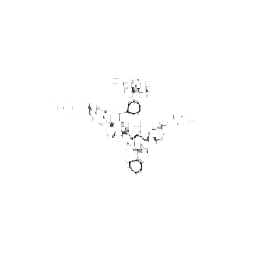 CCOC(=O)N1CCN(C(=O)C(Cc2cccc(P(=O)(OCC)OCC)c2)NC(=O)c2cc(N3CCC(OC)C3)nc(-c3ccccc3)n2)CC1